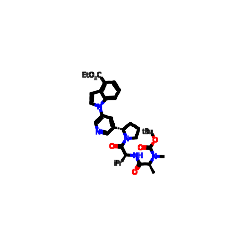 CCOC(=O)c1cccc2c1ccn2-c1cncc([C@@H]2CCCN2C(=O)[C@@H](NC(=O)[C@H](C)N(C)C(=O)OC(C)(C)C)C(C)C)c1